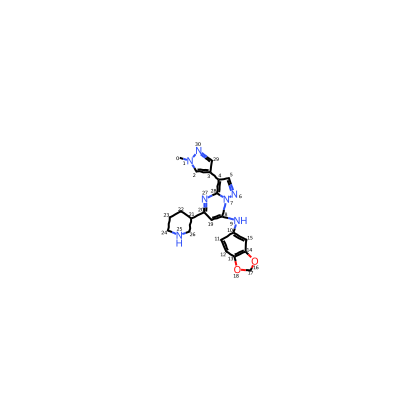 Cn1cc(-c2cnn3c(Nc4ccc5c(c4)OCO5)cc(C4CCCNC4)nc23)cn1